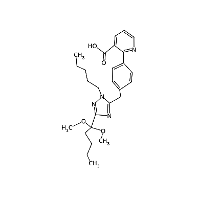 CCCCCn1nc(C(CCCC)(OC)OC)nc1Cc1ccc(-c2ncccc2C(=O)O)cc1